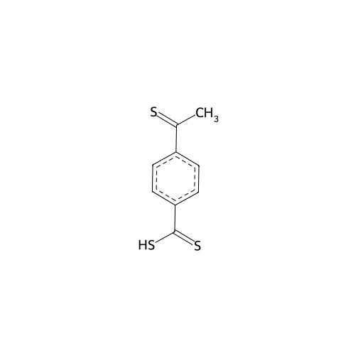 CC(=S)c1ccc(C(=S)S)cc1